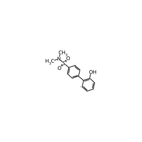 CN(C)S(=O)(=O)c1ccc(-c2[c]cccc2O)cc1